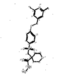 Cc1cc(COc2ccc(S(=O)(=O)CC3(C(=O)NO)CCOCC3)cc2)cc(C)n1